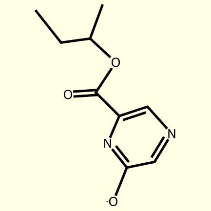 CCC(C)OC(=O)c1cncc([O])n1